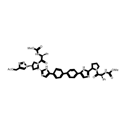 COC(=O)N[C@H](C(=O)N1CCCC1c1ncc(-c2ccc(-c3ccc(-c4cnc([C@@H]5C[C@@H](n6cc(COC(C)=O)nn6)CN5C(=O)[C@@H](NC(=O)OC)C(C)C)[nH]4)cc3)cc2)[nH]1)C(C)C